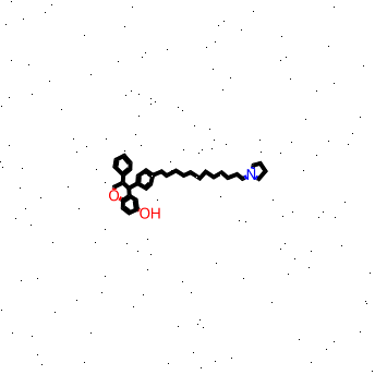 Oc1ccc2c(c1)C(c1ccc(CCCCCCCCCCCCN3CCCC3)cc1)C(c1ccccc1)CO2